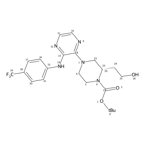 CC(C)(C)OC(=O)N1CCN(c2nccnc2Nc2ccc(C(F)(F)F)cc2)C[C@@H]1CCO